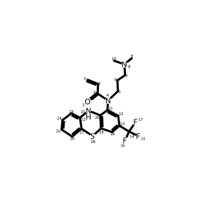 C=CC(=O)N(CCCN(C)C)c1cc(C(F)(F)F)cc2c1Nc1ccccc1S2